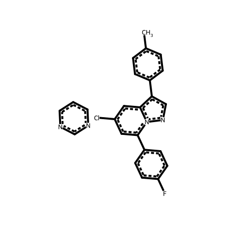 Cc1ccc(-c2cnn3c(-c4ccc(F)cc4)cc(Cl)cc23)cc1.c1cncnc1